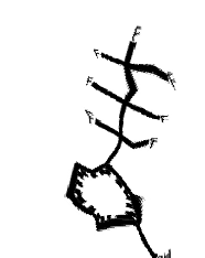 Bc1cccc(C(F)(F)C(F)(F)C(F)(F)F)c1